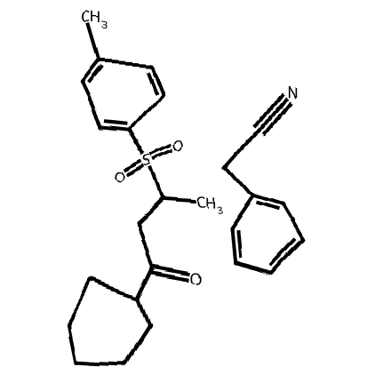 Cc1ccc(S(=O)(=O)C(C)CC(=O)C2CCCCC2)cc1.N#CCc1ccccc1